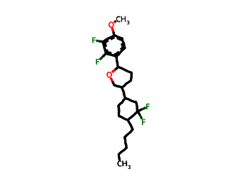 CCCCCC1CCC(C2CCC(c3ccc(OC)c(F)c3F)OC2)CC1(F)F